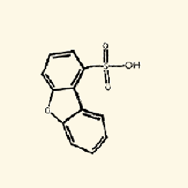 O=S(=O)(O)c1cccc2oc3ccccc3c12